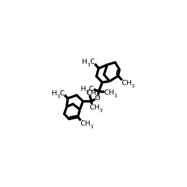 CC1=CCC2CC1C(C(C)(C)OC(C)(C)C1CC(C)C3CC=C(C)C1C3)CC2C